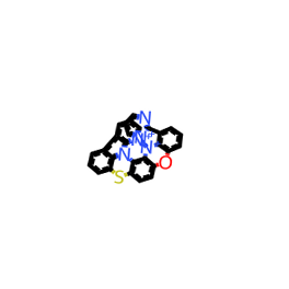 c1cc2c3c(c1)-c1nccc[n+]1[N+]31c3c(ccc4c3-n3c5c(cccc5c5ccc[n+]1c53)S4)O2